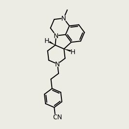 CN1CCN2c3c(cccc31)[C@@H]1CN(CCc3ccc(C#N)cc3)CC[C@@H]12